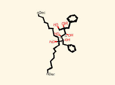 CCCCCCCCCCCCCCCCCCC(O)(CCCCCCCCCCCCCCCCCC)[C@](O)(Cc1ccccc1)[C@@H](O)[C@H](O)[C@](O)(CO)Cc1ccccc1